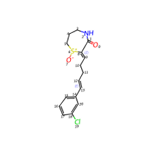 O=C1NCCC[S+]([O-])/C1=C\CC/C=C/c1cccc(Cl)c1